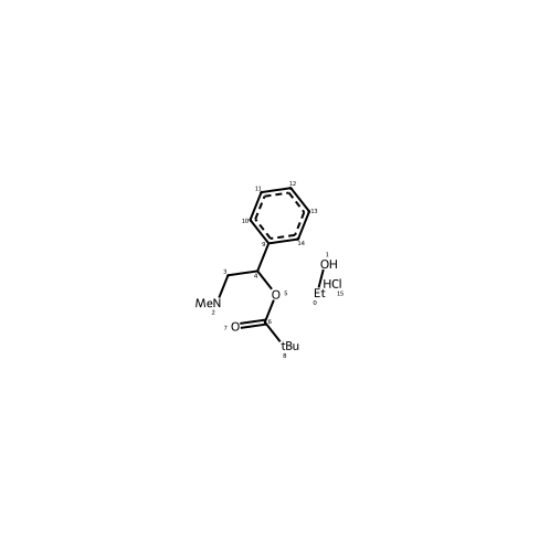 CCO.CNCC(OC(=O)C(C)(C)C)c1ccccc1.Cl